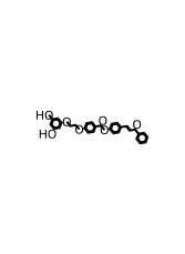 O=C(/C=C/c1ccc(OC(=O)c2ccc(OCCOc3cc(O)cc(O)c3)cc2)cc1)c1ccccc1